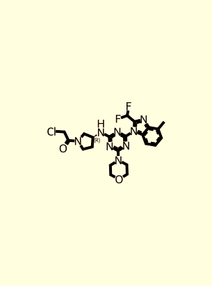 Cc1cccc2c1nc(C(F)F)n2-c1nc(N[C@@H]2CCN(C(=O)CCl)C2)nc(N2CCOCC2)n1